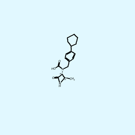 C[C@H]1NC(=O)[C@@H]1N(Cc1ccc(C2CCCCC2)cc1)C(=O)O